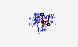 C=C(N)NCCSc1c(N)cccc1NC(=O)c1cc(C(=O)Nc2cccc(N)c2SCCNC(=N)N)c(OCCNC(=N)N)cc1OCCNC(=N)N